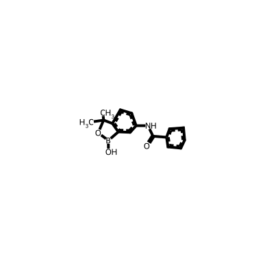 CC1(C)OB(O)c2cc(NC(=O)c3ccccc3)ccc21